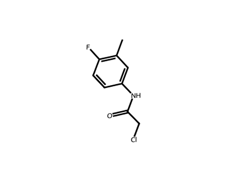 Cc1cc(NC(=O)CCl)ccc1F